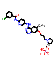 COc1cc2c(Nc3ccc(NC(=O)c4cccc(Cl)c4)nc3)ncnc2cc1OCCCN1CCC[C@@H]1COP(=O)(O)O